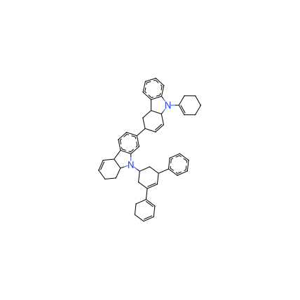 C1=CCCC(C2=CC(c3ccccc3)CC(N3c4cc(C5C=CC6C(C5)c5ccccc5N6C5=CCCCC5)ccc4C4C=CCCC43)C2)=C1